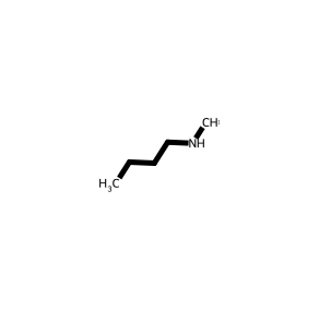 [CH]NCCCC